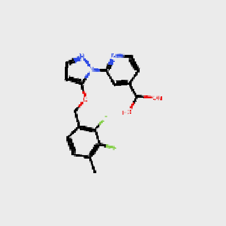 Cc1ccc(COc2ccnn2-c2cc(C(O)O)ccn2)c(F)c1F